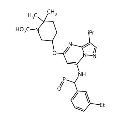 CCc1cccc(C(Nc2cc(OC3CCC(C)(C)N(C(=O)O)C3)nc3c(C(C)C)cnn23)P=O)c1